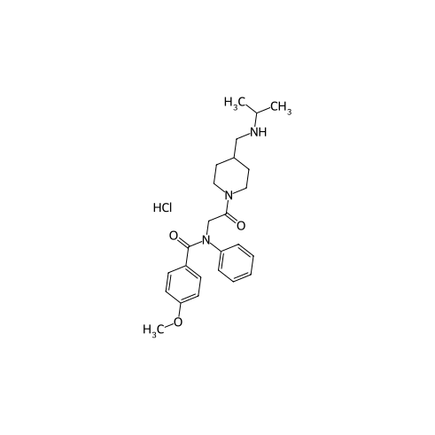 COc1ccc(C(=O)N(CC(=O)N2CCC(CNC(C)C)CC2)c2ccccc2)cc1.Cl